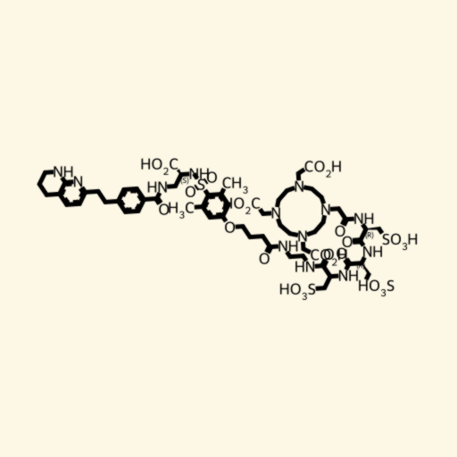 Cc1cc(OCCCC(=O)NCCNC(=O)C(CS(=O)(=O)O)NC(=O)[C@H](CS(=O)(=O)O)NC(=O)[C@H](CS(=O)(=O)O)NC(=O)CN2CCN(CC(=O)O)CCN(CC(=O)O)CCN(CC(=O)O)CC2)cc(C)c1S(=O)(=O)N[C@@H](CNC(=O)c1ccc(CCc2ccc3c(n2)NCCC3)cc1)C(=O)O